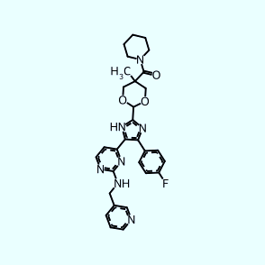 CC1(C(=O)N2CCCCC2)COC(c2nc(-c3ccc(F)cc3)c(-c3ccnc(NCc4cccnc4)n3)[nH]2)OC1